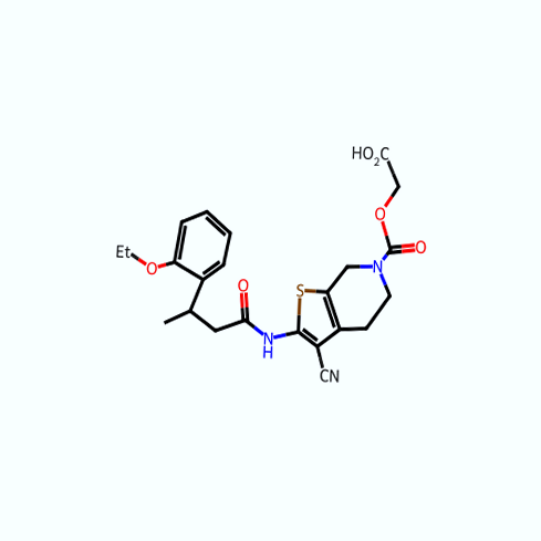 CCOc1ccccc1C(C)CC(=O)Nc1sc2c(c1C#N)CCN(C(=O)OCC(=O)O)C2